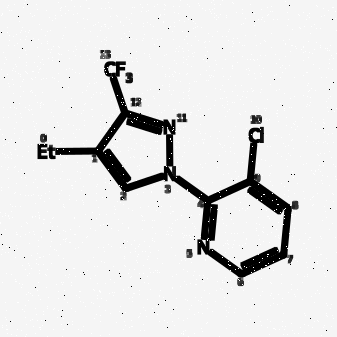 CCc1cn(-c2ncccc2Cl)nc1C(F)(F)F